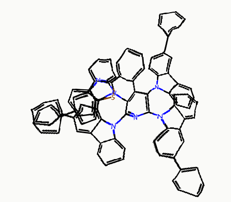 c1ccc(-c2ccc3c(c2)c2ccccc2n3-c2nc(-n3c4ccccc4c4cc(-c5ccccc5)ccc43)c(-n3c4ccccc4c4cc(-c5ccccc5)ccc43)c(-c3ccccc3-c3nc4ccccc4s3)c2-n2c3ccccc3c3cc(-c4ccccc4)ccc32)cc1